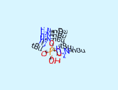 CC(C)(C)OP(=O)(O)OC(C)(C)C.CCCCN.CCCCN.CCCCN.CCCCN